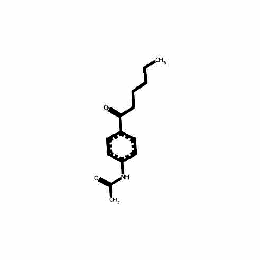 CCCCCC(=O)c1ccc(NC(C)=O)cc1